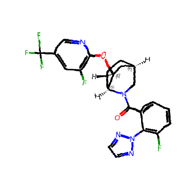 O=C(c1cccc(F)c1-n1nccn1)N1C[C@@H]2CC[C@H]1[C@H](Oc1ncc(C(F)(F)F)cc1F)C2